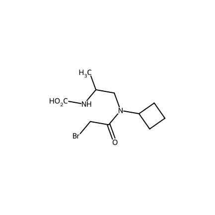 CC(CN(C(=O)CBr)C1CCC1)NC(=O)O